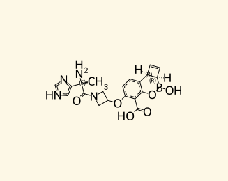 C[C@@](N)(C(=O)N1CC(Oc2ccc3c(c2C(=O)O)OB(O)[C@@H]2C=C[C@H]32)C1)c1c[nH]cn1